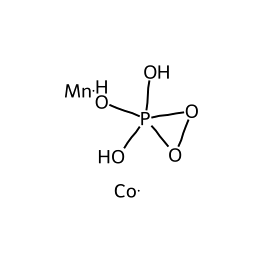 OP1(O)(O)OO1.[Co].[Mn]